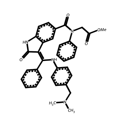 COC(=O)CN(C(=O)c1ccc2c(c1)C(=C(Nc1ccc(CN(C)C)cc1)c1ccccc1)C(=O)N2)c1ccccc1